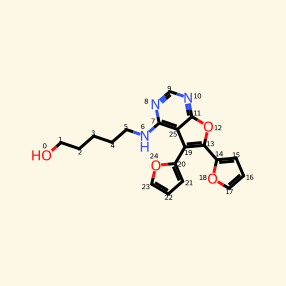 OCCCCCNc1ncnc2oc(-c3ccco3)c(-c3ccco3)c12